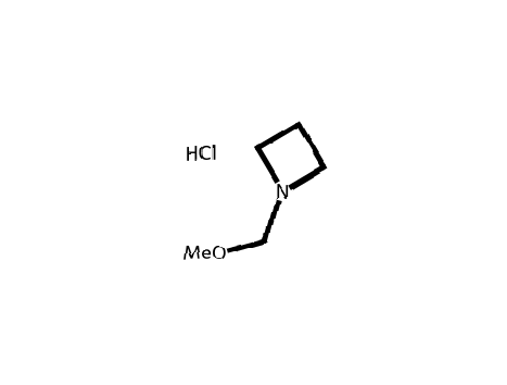 COCN1CCC1.Cl